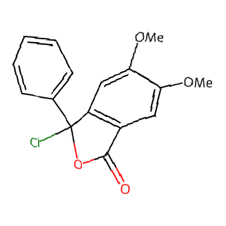 COc1cc2c(cc1OC)C(Cl)(c1ccccc1)OC2=O